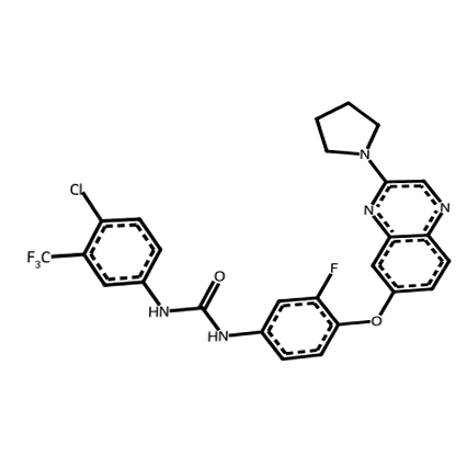 O=C(Nc1ccc(Oc2ccc3ncc(N4CCCC4)nc3c2)c(F)c1)Nc1ccc(Cl)c(C(F)(F)F)c1